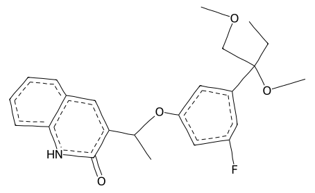 CCC(COC)(OC)c1cc(F)cc(OC(C)c2cc3ccccc3[nH]c2=O)c1